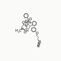 CN1CC(=O)N2[C@@H](C[C@]3(c4ccc(OCCCN=[N+]=[N-])cc4)c4ccccc4N(S(=O)(=O)c4ccccc4)[C@H]23)C1=O